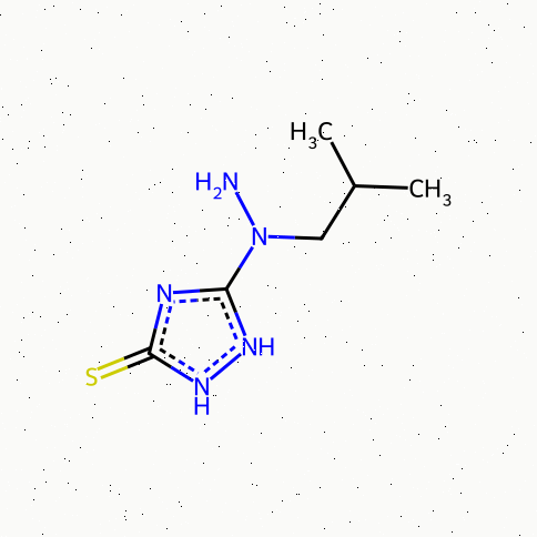 CC(C)CN(N)c1nc(=S)[nH][nH]1